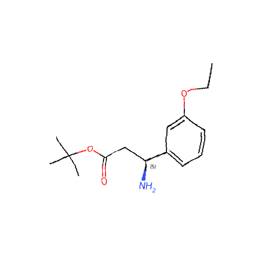 CCOc1cccc([C@@H](N)CC(=O)OC(C)(C)C)c1